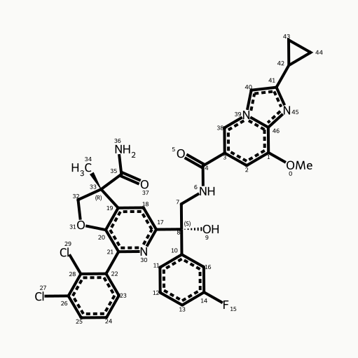 COc1cc(C(=O)NC[C@@](O)(c2cccc(F)c2)c2cc3c(c(-c4cccc(Cl)c4Cl)n2)OC[C@]3(C)C(N)=O)cn2cc(C3CC3)nc12